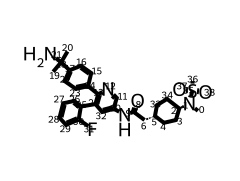 CN([C@H]1CC[C@H](CC(=O)Nc2cnc(-c3ccc(C(C)(C)N)cc3)c(-c3ccccc3F)c2)CC1)S(C)(=O)=O